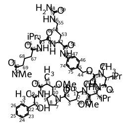 CC[C@H](C)C([C@@H](CC(=O)N1CCC[C@H]1[C@H](OC)[C@@H](C)C(=O)N[C@H](C)[C@@H](O)c1ccccc1)OC)N(C)C(=O)[C@@H](NC(=O)[C@H](C(C)C)N(C)C(=O)OCc1ccc(NC(=O)[C@H](CCCNC(N)=O)NC(=O)[C@@H](NC(=O)CCCC(=O)NC)C(C)C)cc1)C(C)C